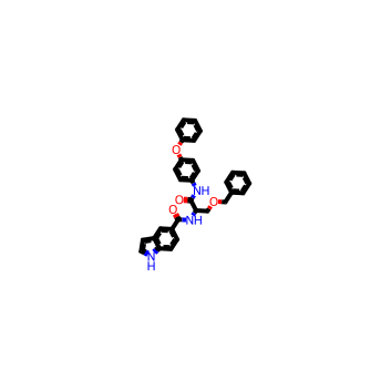 O=C(NC(COCc1ccccc1)C(=O)Nc1ccc(Oc2ccccc2)cc1)c1ccc2[nH]ccc2c1